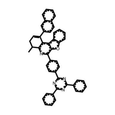 CC1CC=C(c2ccc3ccccc3c2)c2c1nc(-c1ccc(-c3nc(-c4ccccc4)nc(-c4ccccc4)n3)cc1)c1oc3ccccc3c21